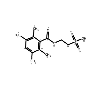 Cc1cc(C)c(C)c(C(=O)OCCS(=O)(=O)O)c1C